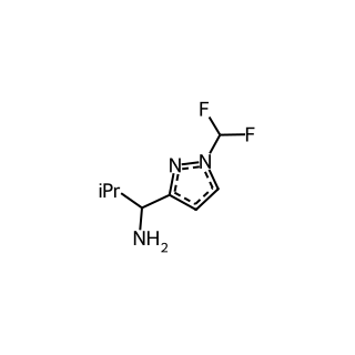 CC(C)C(N)c1ccn(C(F)F)n1